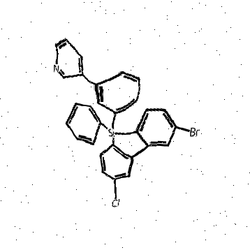 Clc1ccc2c(c1)-c1cc(Br)ccc1[Si]2(c1ccccc1)c1cccc(-c2cccnc2)c1